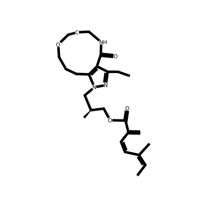 C=C(/C=C\C(C)=C/C)C(=O)OC[C@@H](C)Cn1nc(CC)c2c1CCCOCCCNC2=O